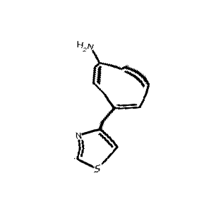 Nc1cccc(-c2cs[c]n2)c1